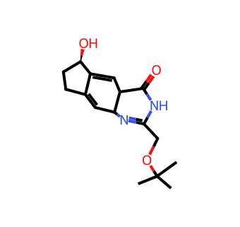 CC(C)(C)OCC1=NC2C=C3CC[C@@H](O)C3=CC2C(=O)N1